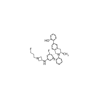 C[C@@H]1Cc2cc(-c3ccccc3O)ccc2[C@@H](c2c(F)cc(NC3CN(CCCF)C3)cc2F)N1c1ccccc1